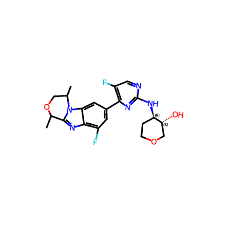 CC1OCC(C)n2c1nc1c(F)cc(-c3nc(N[C@@H]4CCOC[C@H]4O)ncc3F)cc12